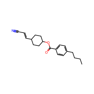 CCCCc1ccc(C(=O)OC2CCC(/C=C/C#N)CC2)cc1